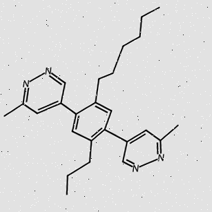 CCCCCCc1cc(-c2cnnc(C)c2)c(CCC)cc1-c1cnnc(C)c1